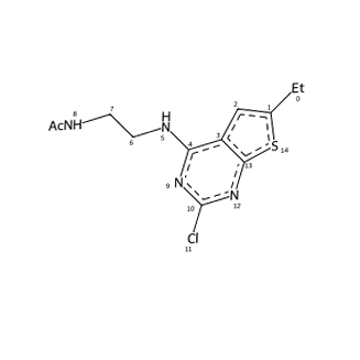 CCc1cc2c(NCCNC(C)=O)nc(Cl)nc2s1